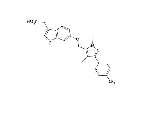 Cc1c(-c2ccc(C(F)(F)F)cc2)nn(C)c1COc1ccc2c(CC(=O)O)c[nH]c2c1